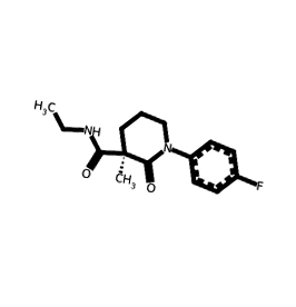 CCNC(=O)[C@@]1(C)CCCN(c2ccc(F)cc2)C1=O